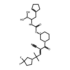 CC(C)(C=C(C#N)C(=O)N1CCC[C@H](OC(=O)NC(CC2=CCCC2)B(O)O)C1)N1CCC(F)(F)C1